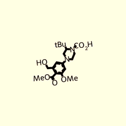 COC(=O)c1c(CO)cc(N2CCN(C(=O)O)C(C(C)(C)C)C2)cc1OC